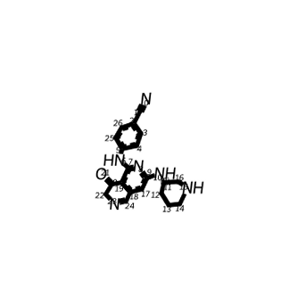 N#Cc1ccc(Nc2nc(N[C@@H]3CCCNC3)cc3c2C(=O)CN=C3)cc1